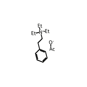 CC(=O)[O-].CC[N+](CC)(CC)CCc1ccccc1